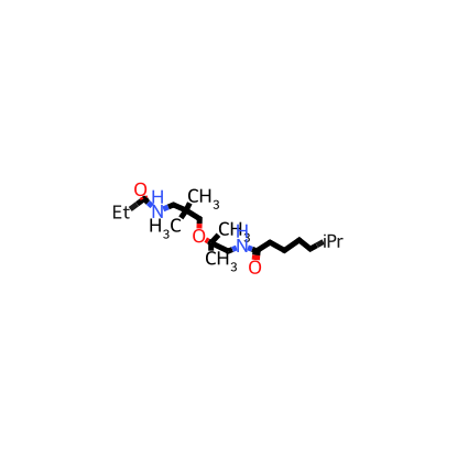 CCC(=O)NCC(C)(C)COC(C)(C)CNC(=O)CCCCC(C)C